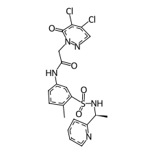 Cc1ccc(NC(=O)Cn2ncc(Cl)c(Cl)c2=O)cc1S(=O)(=O)N[C@@H](C)c1ccccn1